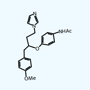 COc1ccc(CC(CCn2ccnc2)Oc2ccc(NC(C)=O)cc2)cc1